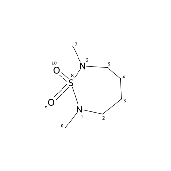 CN1CCCCN(C)S1(=O)=O